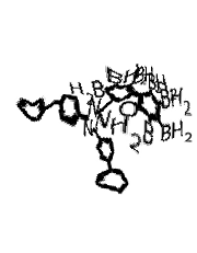 Bc1c(B)c(B)c2c(oc3c(-c4nc(-c5ccc(-c6ccccc6)cc5)nc(-c5ccc(-c6ccccc6)cc5)n4)c(B)c(B)c(B)c32)c1B